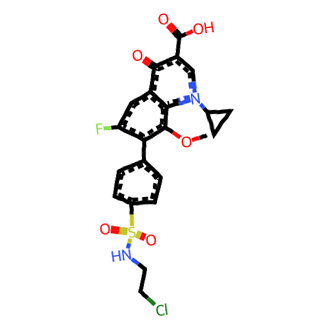 COc1c(-c2ccc(S(=O)(=O)NCCCl)cc2)c(F)cc2c(=O)c(C(=O)O)cn(C3CC3)c12